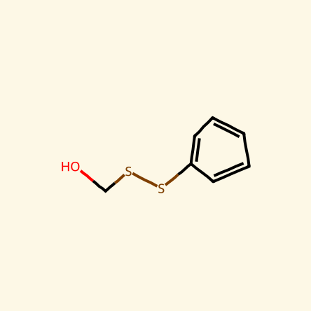 OCSSc1ccccc1